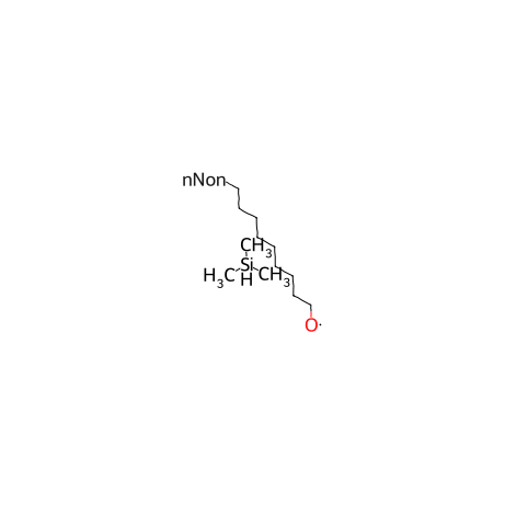 CCCCCCCCCCCCCCCCCC[O].C[SiH](C)C